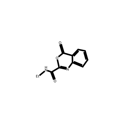 CCNC(=O)c1nc2ccccc2c(=O)o1